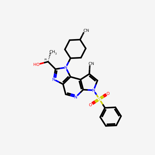 C[C@@H](O)c1nc2cnc3c(c(C#N)cn3S(=O)(=O)c3ccccc3)c2n1C1CCC(C#N)CC1